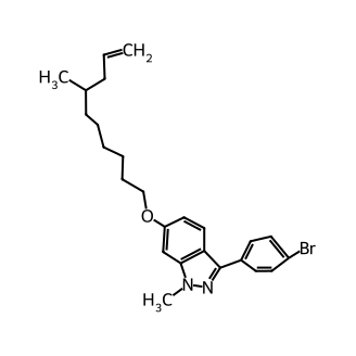 C=CCC(C)CCCCCCOc1ccc2c(-c3ccc(Br)cc3)nn(C)c2c1